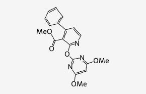 COC(=O)c1c(-c2ccccc2)ccnc1Oc1nc(OC)cc(OC)n1